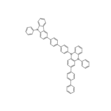 c1ccc(-c2ccc(-c3ccc4c(c3)N(c3ccccc3)c3ccccc3N4c3ccc(-c4ccc(-c5ccc6c(c5)c5ccccc5n6-c5ccccc5)cc4)cc3)cc2)cc1